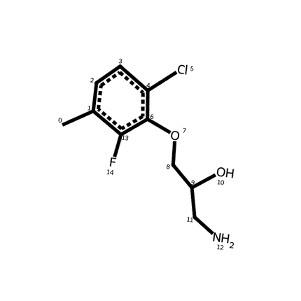 Cc1ccc(Cl)c(OCC(O)CN)c1F